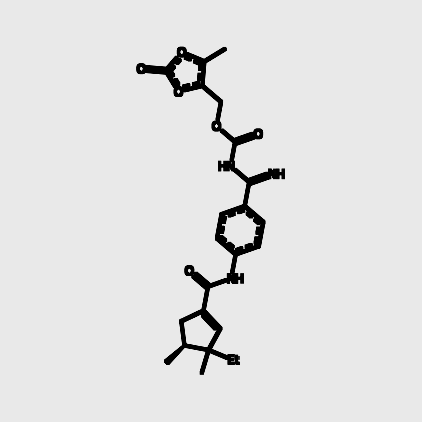 CCC1(C)C=C(C(=O)Nc2ccc(C(=N)NC(=O)OCc3oc(=O)oc3C)cc2)C[C@@H]1C